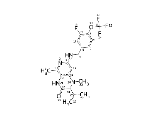 Cc1nc(NCc2ccc(OC(F)(F)F)c(F)c2)cc2c1NC(=O)C(C(C)C)N2C